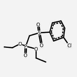 CCOP(=O)(CS(=O)(=O)c1cccc(Cl)c1)OCC